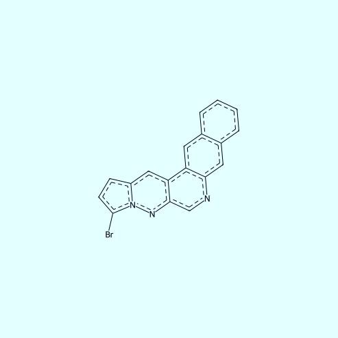 Brc1ccc2cc3c(cnc4cc5ccccc5cc43)nn12